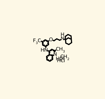 Cc1cc(Nc2cc(OCCCNC34CCCC(CCC3)C4)cc(C(F)(F)F)c2)c2ccccc2n1.Cl.Cl.[CH2]